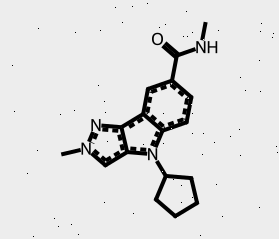 CNC(=O)c1ccc2c(c1)c1nn(C)cc1n2C1CCCC1